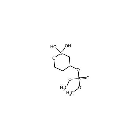 COP(=O)(OC)OC1CCOS(O)(O)C1